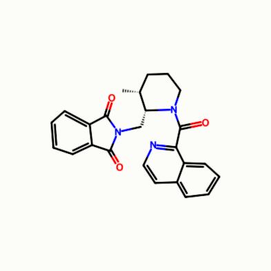 C[C@@H]1CCCN(C(=O)c2nccc3ccccc23)[C@@H]1CN1C(=O)c2ccccc2C1=O